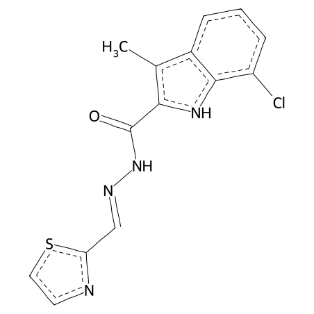 Cc1c(C(=O)NN=Cc2nccs2)[nH]c2c(Cl)cccc12